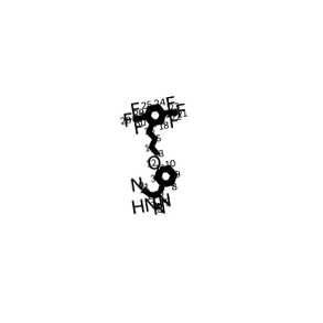 N#Cc1[nH]nnc1-c1cccc(OCCCCc2cc(C(F)(F)F)ccc2C(F)(F)F)c1